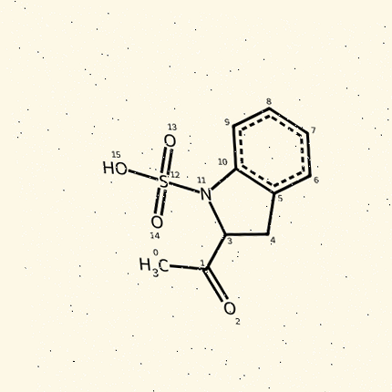 CC(=O)C1Cc2ccccc2N1S(=O)(=O)O